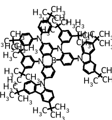 CC(C)(C)c1ccc(N(c2ccc(C(C)(C)C)cc2)c2cc3c4c(c2)N(c2cc(C(C)(C)C)cc(C(C)(C)C)c2)c2cc(-n5c6ccc(C(C)(C)C)cc6c6cc(C(C)(C)C)ccc65)ccc2B4c2ccc(-n4c5ccc(C(C)(C)C)cc5c5cc(C(C)(C)C)ccc54)cc2N3c2cc(C(C)(C)C)cc(C(C)(C)C)c2)cc1